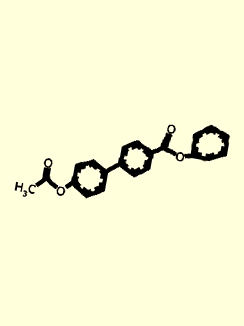 CC(=O)Oc1ccc(-c2ccc(C(=O)Oc3ccccc3)cc2)cc1